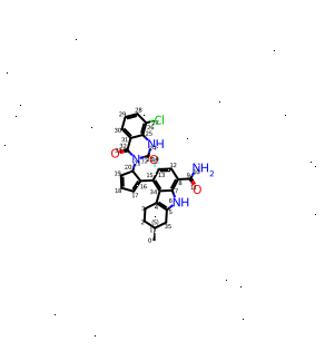 C[C@H]1CCc2c([nH]c3c(C(N)=O)cc(F)c(C4=CC=CC4n4c(=O)[nH]c5c(Cl)cccc5c4=O)c23)C1